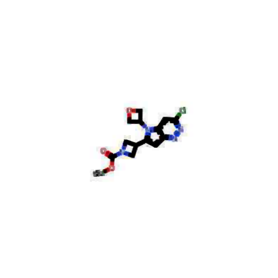 CC(C)(C)OC(=O)N1CC(c2cc3nnc(Cl)cc3n2C2COC2)C1